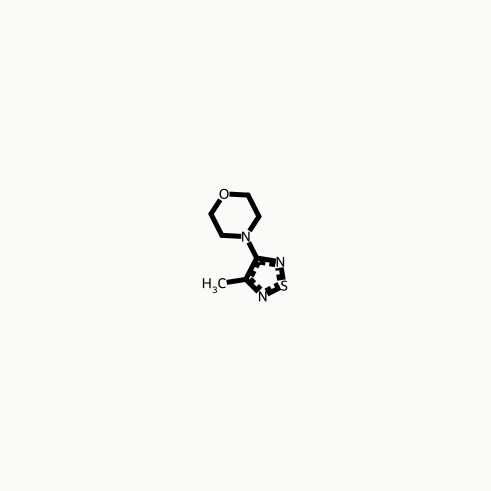 Cc1nsnc1N1CCOCC1